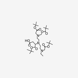 CCN(CCN(CCN(COC(=O)C(C)(C)C)CC(=O)OC(C)(C)C)C(CC(=O)O)C(=O)OC(C)(C)C)CC(=O)OC(C)(C)C